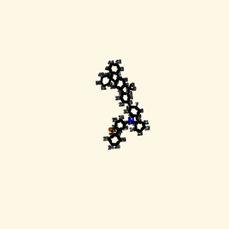 CC1(C)c2cc(-c3ccc4c5ccccc5n(-c5ccc6sc7ccccc7c6c5)c4c3)ccc2-c2cc3c(cc21)-c1ccccc1C31CCCCC1